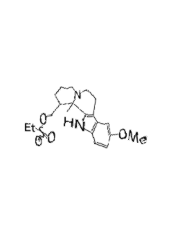 CCS(=O)(=O)OCC1CCCN2CCc3c([nH]c4ccc(OC)cc34)C12C